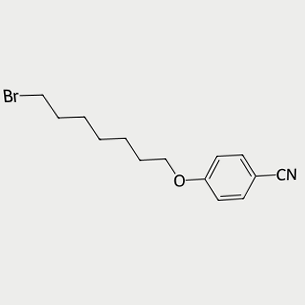 N#Cc1ccc(OCCCCCCCBr)cc1